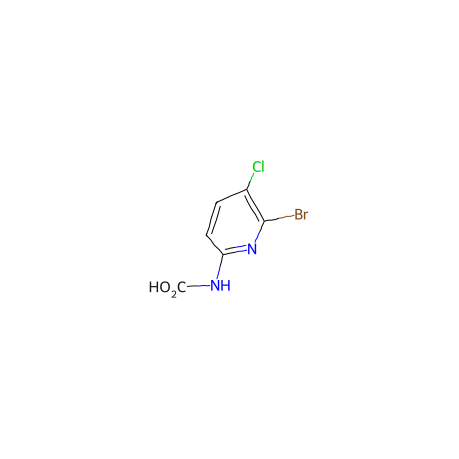 O=C(O)Nc1ccc(Cl)c(Br)n1